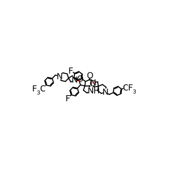 O=C(C(c1ccc(F)cc1)C1(C(C(=O)N2CC3(CCN(Cc4ccc(C(F)(F)F)cc4)CC3)C2)c2ccc(F)cc2)CCNC1=O)N1CC2(CCN(Cc3ccc(C(F)(F)F)cc3)CC2)C1